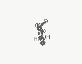 COCCCOc1cc(C(=O)N(C[C@@H]2CNC[C@@]2(O)Cc2ccccc2)C(C)C)ccc1OC